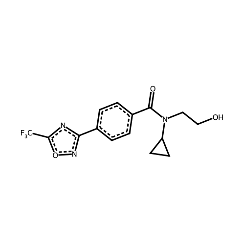 O=C(c1ccc(-c2noc(C(F)(F)F)n2)cc1)N(CCO)C1CC1